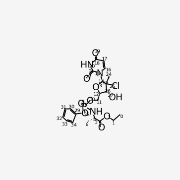 CCOC(=O)[C@H](C)NP(=O)(OC[C@H]1O[C@@H](n2ccc(=O)[nH]c2=O)[C@](C)(Cl)[C@@H]1O)Oc1ccccc1